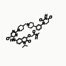 CNC(=O)COc1cc2cc(Nc3nc(N4CCC(CN5CCC(c6cccc(N7CCC(=O)NC7=O)c6)CC5)CC4)ncc3Cl)ccc2n(C(C)C)c1=O